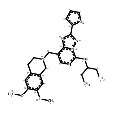 CCC(CC)Nc1ncc(CN2CCc3cc(OC)c(OC)cc3C2)c2nc(-c3ccco3)nn12